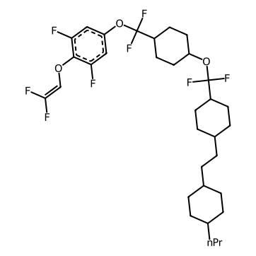 CCCC1CCC(CCC2CCC(C(F)(F)OC3CCC(C(F)(F)Oc4cc(F)c(OC=C(F)F)c(F)c4)CC3)CC2)CC1